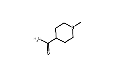 C[N+]1CCC(C(N)=O)CC1